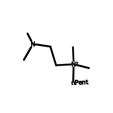 CCCCC[N+](C)(C)CCN(C)C